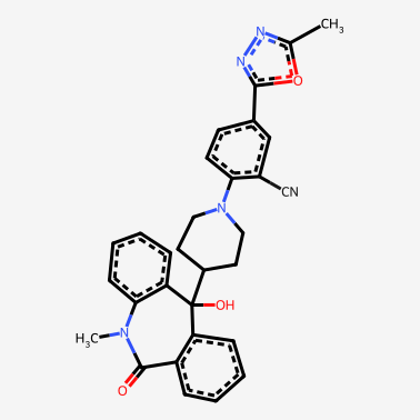 Cc1nnc(-c2ccc(N3CCC(C4(O)c5ccccc5C(=O)N(C)c5ccccc54)CC3)c(C#N)c2)o1